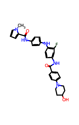 Cn1cccc1C(=O)Nc1ccc(Nc2ccc(NC(=O)c3ccc(N4CCC(O)CC4)cc3)cc2F)cc1